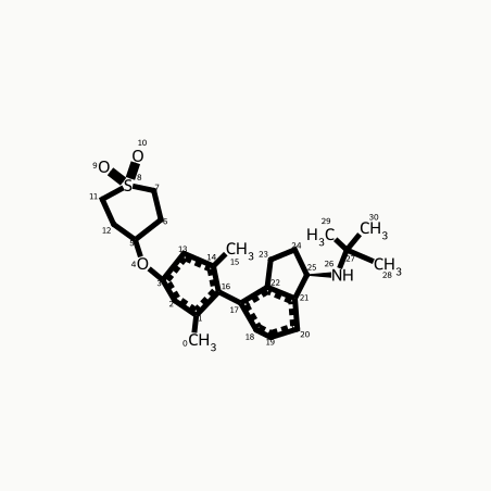 Cc1cc(OC2CCS(=O)(=O)CC2)cc(C)c1-c1cccc2c1CC[C@H]2NC(C)(C)C